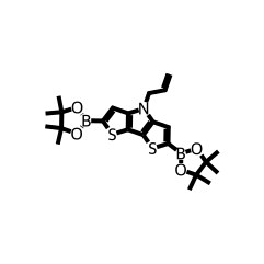 C=CCn1c2cc(B3OC(C)(C)C(C)(C)O3)sc2c2sc(B3OC(C)(C)C(C)(C)O3)cc21